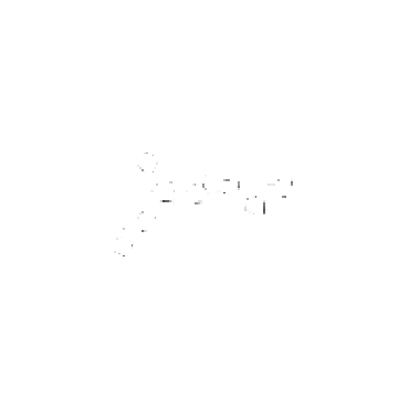 c1ccc(-c2nc(-c3ccc4c(c3)oc3ccccc34)nc(-c3ccc4c(c3)oc3ccc(-c5cccc6c5oc5ccccc56)cc34)n2)cc1